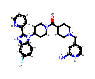 Nc1cc(CN2CCC(C(=O)N3CCC(n4c(-c5ccccn5)nc5cc(F)ccc54)CC3)CC2)ccn1